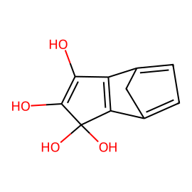 OC1=C(O)C(O)(O)C2=C1C1=CC=C2C1